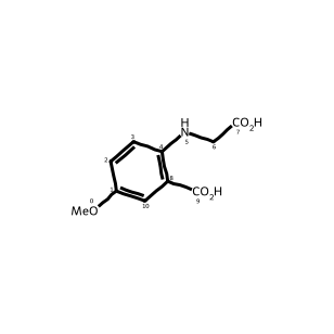 COc1ccc(NCC(=O)O)c(C(=O)O)c1